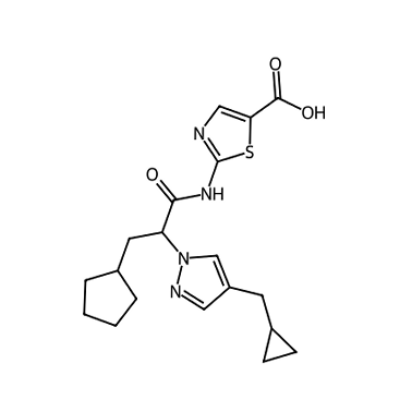 O=C(O)c1cnc(NC(=O)C(CC2CCCC2)n2cc(CC3CC3)cn2)s1